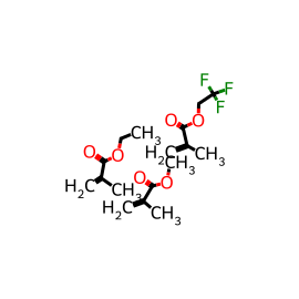 C=C(C)C(=O)OC.C=C(C)C(=O)OCC.C=C(C)C(=O)OCC(F)(F)F